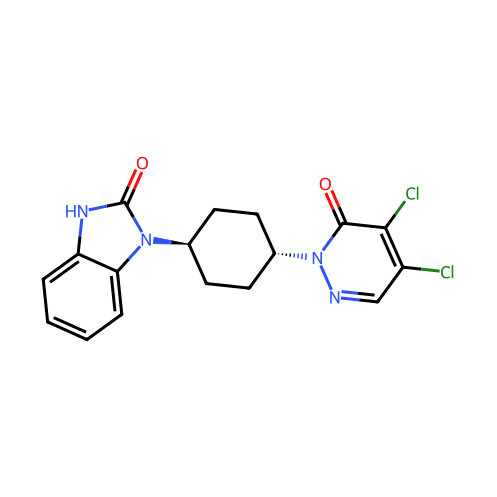 O=c1c(Cl)c(Cl)cnn1[C@H]1CC[C@H](n2c(=O)[nH]c3ccccc32)CC1